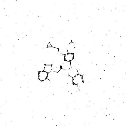 C[n+]1cc(Cl)c(C[C@H](OC(=O)CN2C(=O)C(=O)c3cccc(F)c32)c2ccc(OC(F)F)c(OCC3CC3)c2)c(Cl)c1